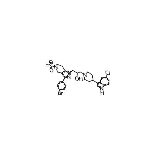 CS(=O)(=O)N1CCc2c(c(-c3ccc(Br)cc3)nn2CC(O)CN2CCC(c3c[nH]c4ccc(Cl)cc34)CC2)C1